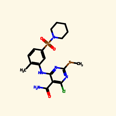 CSc1nc(Cl)c(C(N)=O)c(Nc2cc(S(=O)(=O)N3CCCCC3)ccc2C)n1